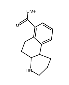 COC(=O)c1cccc2c1CCC1NCCCC21